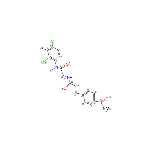 [CH2]c1c(Cl)ccc(N(C)C(=O)CNC(=O)C=Cc2ccc(C(=O)NC)cc2)c1Cl